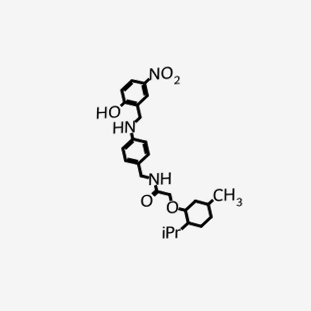 CC1CCC(C(C)C)C(OCC(=O)NCc2ccc(NCc3cc([N+](=O)[O-])ccc3O)cc2)C1